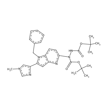 Cn1cnc(-c2cc3nc(N(NC(=O)OC(C)(C)C)C(=O)OC(C)(C)C)ccc3n2Cc2ccccc2)c1